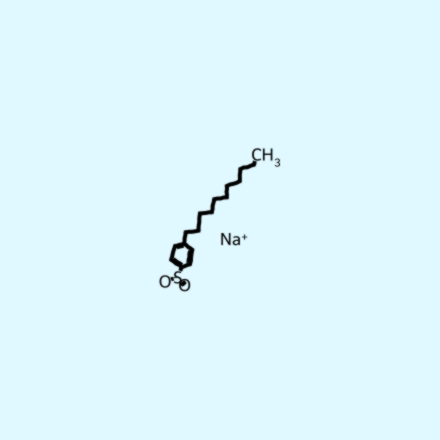 CCCCCCCCCCCc1ccc(S(=O)[O-])cc1.[Na+]